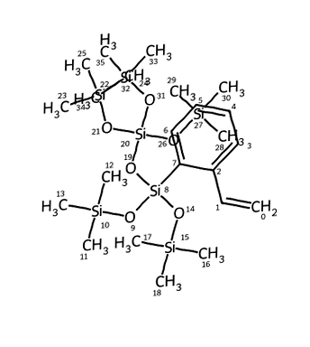 C=Cc1ccccc1[Si](O[Si](C)(C)C)(O[Si](C)(C)C)O[Si](O[Si](C)(C)C)(O[Si](C)(C)C)O[Si](C)(C)C